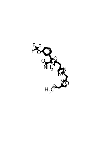 COCc1coc(Cn2ncc(Cc3nc(C(N)=O)c(-c4cccc(OC(F)(F)F)c4)o3)n2)n1